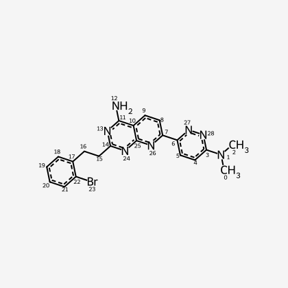 CN(C)c1ccc(-c2ccc3c(N)nc(CCc4ccccc4Br)nc3n2)nn1